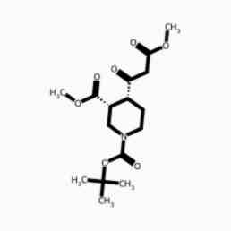 COC(=O)CC(=O)[C@@H]1CCN(C(=O)OC(C)(C)C)C[C@@H]1C(=O)OC